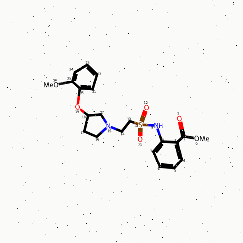 COC(=O)c1ccccc1NS(=O)(=O)CCN1CCC(Oc2ccccc2OC)C1